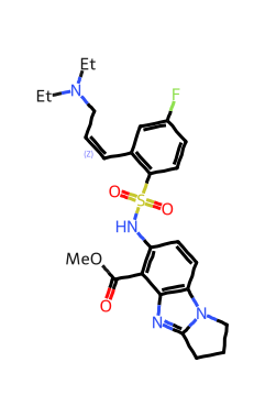 CCN(CC)C/C=C\c1cc(F)ccc1S(=O)(=O)Nc1ccc2c(nc3n2CCC3)c1C(=O)OC